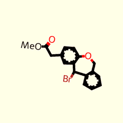 COC(=O)Cc1ccc2c(c1)C(Br)c1ccccc1CO2